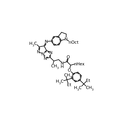 CCCCCCCCN1CCc2cc(/N=C3/C(C)=Nn4nc(C(C)CNC(=O)C(CCCCCC)Oc5ccc(C(C)(C)CC)cc5C(C)(C)CC)nc43)ccc21